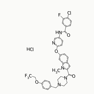 Cl.Cn1c(C(=O)N2CCN(Cc3ccc(OCC(F)(F)F)cc3)CC2)cc2ccc(Oc3ccc(NC(=O)c4ccc(Cl)c(F)c4)cn3)cc21